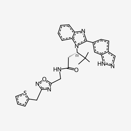 CC(C)(C)[C@H](CC(=O)NCc1nc(Cc2cccs2)no1)n1c(-c2ccc3cn[nH]c3c2)nc2ccccc21